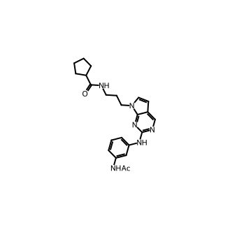 CC(=O)Nc1cccc(Nc2ncc3ccn(CCCNC(=O)C4CCCC4)c3n2)c1